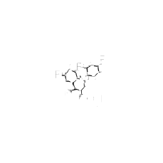 O=C(O)c1cn(-c2ccc(F)cc2F)c2ccc(F)cc2c1=O